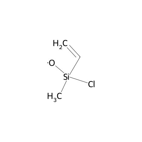 C=C[Si](C)([O])Cl